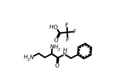 NCCC(N)C(=O)NCc1ccccc1.O=C(O)C(F)(F)F